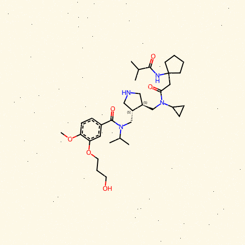 COc1ccc(C(=O)N(C[C@@H]2CNC[C@H]2CN(C(=O)CC2(NC(=O)C(C)C)CCCC2)C2CC2)C(C)C)cc1OCCCO